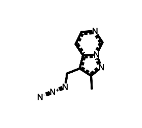 Cc1nn2cnccc2c1CN=[N+]=[N-]